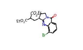 CCOC(=O)C(CC1CCn2c1nc1c(Br)cccc1c2=O)C(=O)OCC